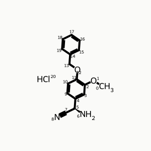 COc1cc([C@@H](N)C#N)ccc1OCc1ccccc1.Cl